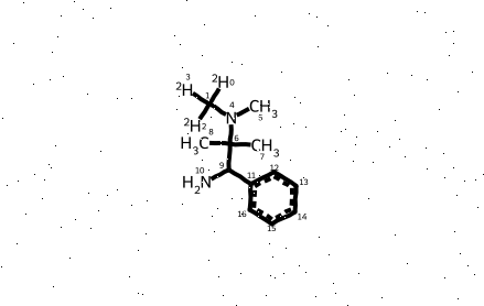 [2H]C([2H])([2H])N(C)C(C)(C)C(N)c1ccccc1